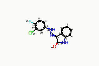 O=C1Nc2ccccc2/C1=N\Nc1ccc(F)c(Cl)c1